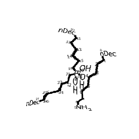 CCCCCCCCCCCCCCCCCCN.CCCCCCCCCCCCCCCCP(O)(O)(O)CCCCCCCCCCCCCCCC